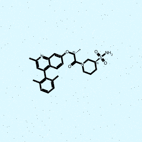 Cc1cc(-c2c(C)cccc2C)c2ccc(O[C@H](C)C(=O)N3CCC[C@H](S(N)(=O)=O)C3)cc2n1